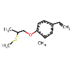 C.C=Cc1ccc(OCC(C)SC)cc1